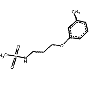 Cc1[c]ccc(OCCCNS(C)(=O)=O)c1